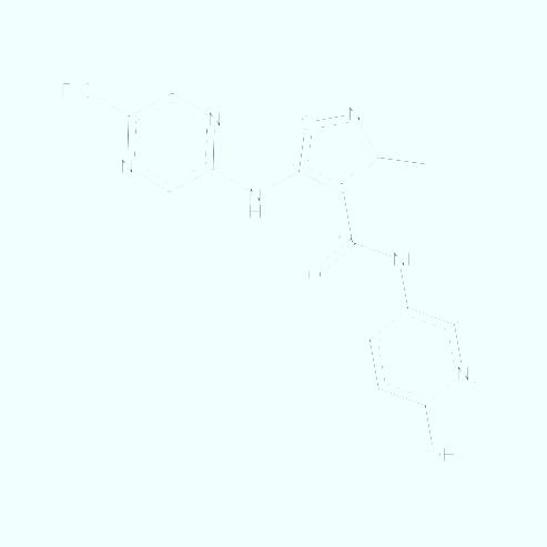 Cc1nsc(Nc2cnc(C(F)(F)F)cn2)c1C(=O)Nc1ccc(O)nc1